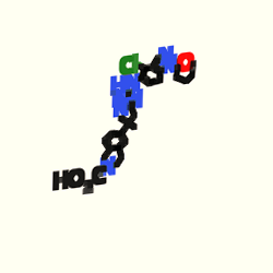 Cn1nc(CC(C)(C)c2ccc3c(c2)CCN(C(=O)O)C3)nc1Nc1ccc2c(cnn2C2CCCCO2)c1Cl